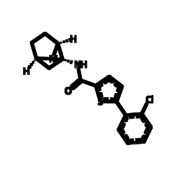 O=C(N[C@@H]1C[C@H]2CC[C@@H]1N2)c1ccc(-c2ccccc2Cl)s1